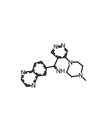 CN1CCN(c2cnncc2C(=N)c2ccc3nccnc3c2)CC1